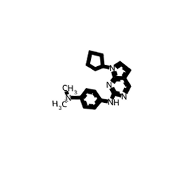 CN(C)c1ccc(Nc2ncc3ccn(C4CCCC4)c3n2)cc1